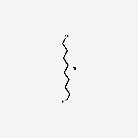 OCCCCCCCCO.[Ti]